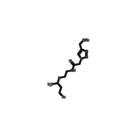 CNCc1cn(CC(=O)NCCOC(C)CCC(C)=O)nn1